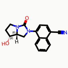 N#Cc1ccc(N2C[C@@H]3[C@H](O)CCN3C2=O)c2ccccc12